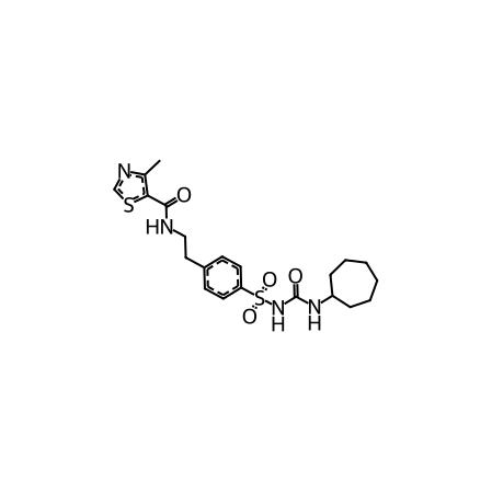 Cc1ncsc1C(=O)NCCc1ccc(S(=O)(=O)NC(=O)NC2CCCCCC2)cc1